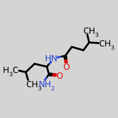 CC(C)CCC(=O)NC(CC(C)C)C(N)=O